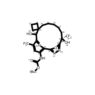 CC(C)(C)OC(=O)Nc1cc(C(F)(F)F)c2nc1-c1nnc(o1)[C@@](O)(C(F)(F)F)CCCCCC1(CCC1)C2O